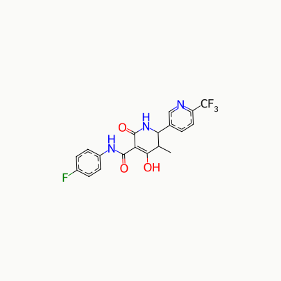 CC1C(O)=C(C(=O)Nc2ccc(F)cc2)C(=O)NC1c1ccc(C(F)(F)F)nc1